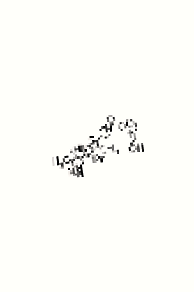 Cc1c(-c2[nH]c3sc(C4CCN(C(=O)[C@H]5C[C@@]6(CN(CCO)CCO6)C5)CC4)c(C)c3c2C(C)C)cn2ncnc2c1C